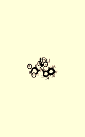 CC(C)(C)OC(=O)N(C1=CC(=O)COC1)[C@@H]1CCc2ccccc21